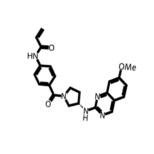 C=CC(=O)Nc1ccc(C(=O)N2CC[C@H](Nc3ncc4ccc(OC)cc4n3)C2)cc1